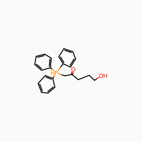 O=C(CCCO)C[PH](c1ccccc1)(c1ccccc1)c1ccccc1